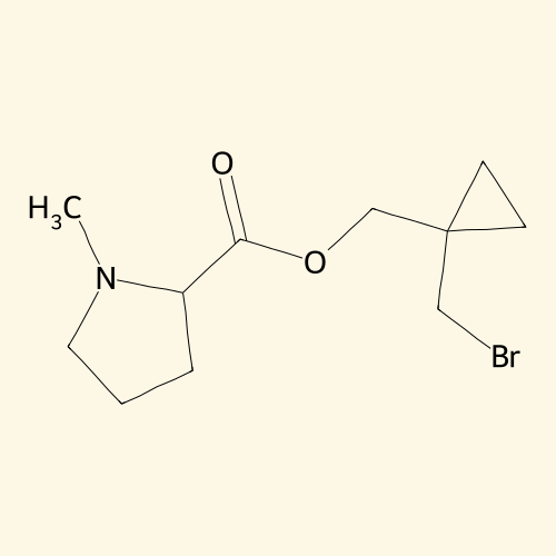 CN1CCCC1C(=O)OCC1(CBr)CC1